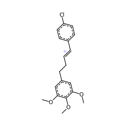 COc1cc(CC/C=C/c2ccc(Cl)cc2)cc(OC)c1OC